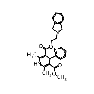 COC(=O)C1=C(C)NC(C)=C(C(=O)OCCN2Cc3ccccc3C2)C1c1ccccn1